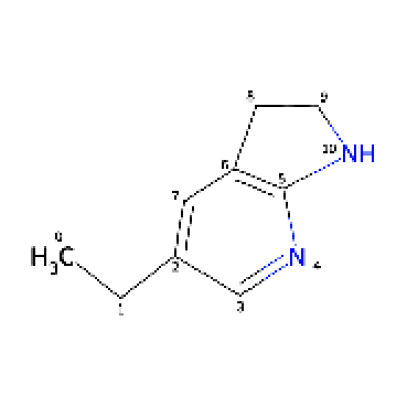 CCc1cnc2c(c1)CCN2